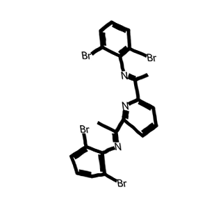 CC(=Nc1c(Br)cccc1Br)c1cccc(C(C)=Nc2c(Br)cccc2Br)n1